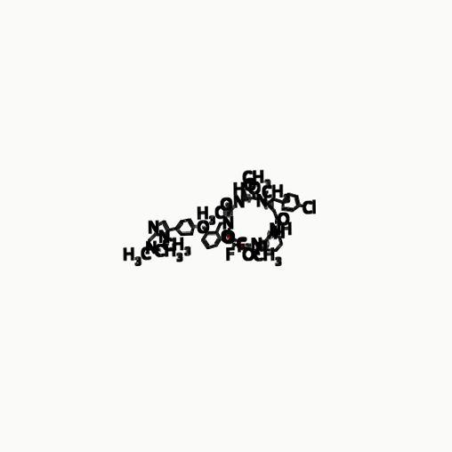 COC[C@@H]1NC(=O)[C@H](C)N(Cc2c(Oc3ccc(-c4cnc(CN(C)C)n4C)cc3)cccc2OC(F)F)C(=O)CCC(=O)N(C)[C@H]2CCCC[C@@H]2NC(=O)C[C@H](Cc2ccc(Cl)cc2)N(C)C1=O